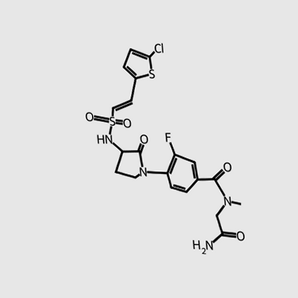 CN(CC(N)=O)C(=O)c1ccc(N2CCC(NS(=O)(=O)C=Cc3ccc(Cl)s3)C2=O)c(F)c1